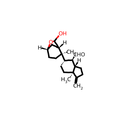 C=C1CC[C@H]2[C@H](C=O)[C@@H]([C@@]3(C)CC[C@H]4C[C@@H]3C(O)O4)CC[C@]12C